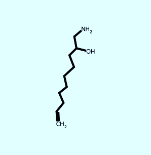 C=CCCCCCCC(O)CN